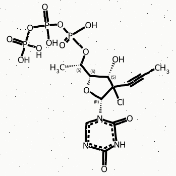 CC#CC1(Cl)[C@@H](O)[C@@H]([C@H](C)OP(=O)(O)OP(=O)(O)OP(=O)(O)O)O[C@H]1n1cnc(=O)[nH]c1=O